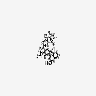 CCCN1CN=C(N2CCN(C(=O)C3N(C)CCN3CCC)CC2)c2cc(Cl)c(-c3cc(O)cc4ccccc34)c(F)c21